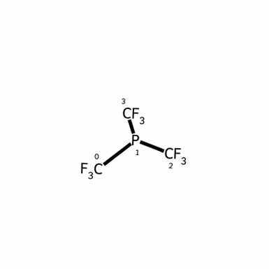 FC(F)(F)P(C(F)(F)F)C(F)(F)F